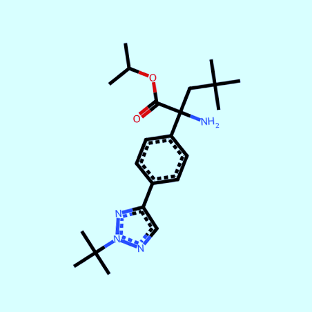 CC(C)OC(=O)C(N)(CC(C)(C)C)c1ccc(-c2cnn(C(C)(C)C)n2)cc1